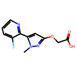 Cn1nc(OCC(=O)O)cc1-c1ncccc1F